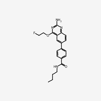 CCCCNC(=O)c1ccc(-c2ccc3nc(N)nc(OCCF)c3c2)cc1